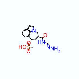 CS(=O)(=O)O.NN=CNC(=O)C1=CCC2=c3c(ccn3C1)=CCC2